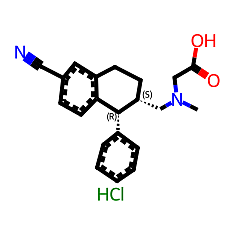 CN(CC(=O)O)C[C@H]1CCc2cc(C#N)ccc2[C@H]1c1ccccc1.Cl